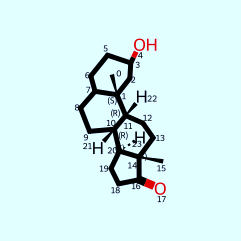 C[C@]12CC(O)CCC1CC[C@@H]1[C@H]2CC[C@]2(C)C(=O)CC[C@@H]12